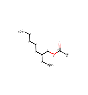 CCCCCCCCCCCCCCC(CCCCCCCCCCC)COC(=O)C(C)CC